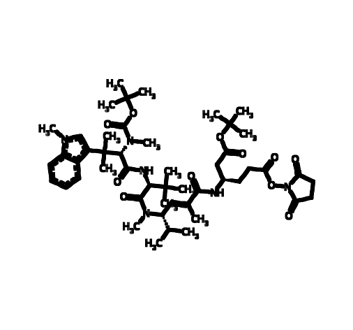 C/C(=C\[C@H](C(C)C)N(C)C(=O)[C@@H](NC(=O)[C@@H](N(C)C(=O)OC(C)(C)C)C(C)(C)c1cn(C)c2ccccc12)C(C)(C)C)C(=O)N[C@H](CCC(=O)ON1C(=O)CCC1=O)CC(=O)OC(C)(C)C